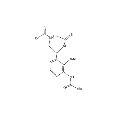 COc1c(NC(=O)C(C)(C)C)cccc1C(CNC(=S)S)NC(=S)S